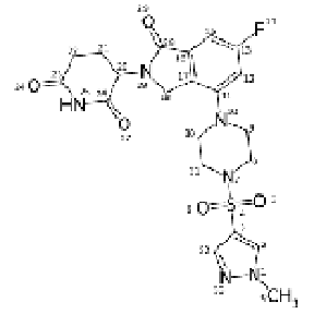 Cn1cc(S(=O)(=O)N2CCN(c3cc(F)cc4c3CN(C3CCC(=O)NC3=O)C4=O)CC2)cn1